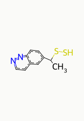 CC(SS)c1ccc2nnccc2c1